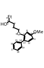 CCC(O)CCCOc1cc(OC)ccc1-c1ccccc1